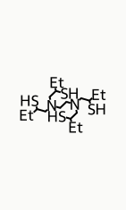 CCC(S)CN(CCN(CC(S)CC)CC(S)CC)CC(S)CC